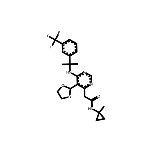 CC1(NC(=O)Cc2ncnc(NC(C)(C)c3cccc(C(F)(F)F)c3)c2C2OCCO2)CC1